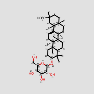 CC1(C(=O)O)CC[C@]2(C)CC[C@]3(C)C(=CC[C@@H]4[C@@]5(C)CC[C@H](O[C@@H]6O[C@H](CO)[C@@H](O)[C@H](O)[C@H]6O)C(C)(C)C5CC[C@]43C)[C@@H]2C1